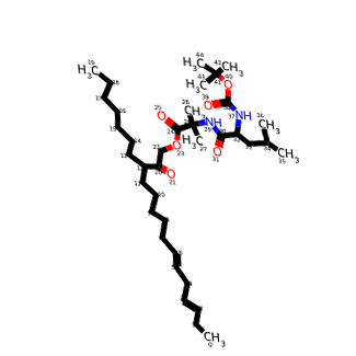 CCC=CCC=CCCCCCC(CCCCCCC)C(=O)COC(=O)C(C)(C)NC(=O)C(CC(C)C)NC(=O)OC(C)(C)C